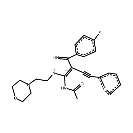 CC(=O)N/C(NCCN1CCOCC1)=C(\C#Cc1ccccc1)C(=N)c1ccc(F)cc1